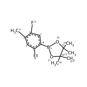 CCc1cc(C)c(F)cc1B1OC(C)(C)C(C)(C)O1